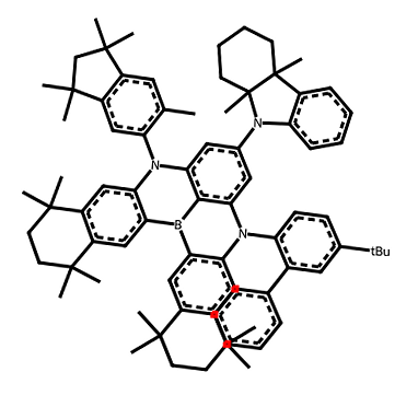 Cc1cc2c(cc1N1c3cc4c(cc3B3c5cc6c(cc5N(c5ccc(C(C)(C)C)cc5-c5ccccc5)c5cc(N7c8ccccc8C8(C)CCCCC78C)cc1c53)C(C)(C)CCC6(C)C)C(C)(C)CCC4(C)C)C(C)(C)CC2(C)C